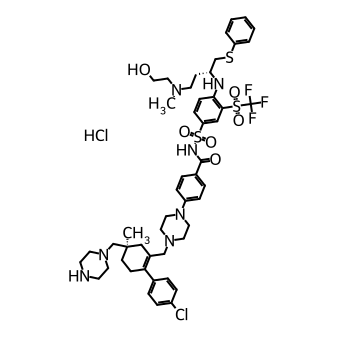 CN(CCO)CC[C@H](CSc1ccccc1)Nc1ccc(S(=O)(=O)NC(=O)c2ccc(N3CCN(CC4=C(c5ccc(Cl)cc5)CC[C@@](C)(CN5CCNCC5)C4)CC3)cc2)cc1S(=O)(=O)C(F)(F)F.Cl